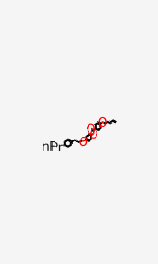 C=CCCCOc1ccc(C(=O)Oc2ccc(OCCCC3CCC(CCC)CC3)cc2)cc1